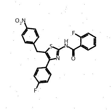 O=C(Nc1nc(-c2ccc(F)cc2)c(Cc2ccc([N+](=O)[O-])cc2)s1)c1ccccc1F